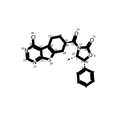 C[C@H]1[C@@H](c2ccccc2)OC(=O)N1C(=O)[C@@H]1CCc2c(sc3ncnc(Cl)c23)C1